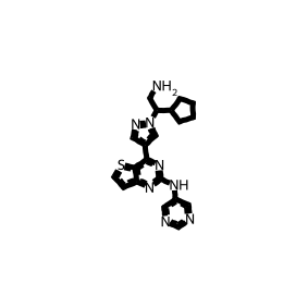 NCC(C1CCCC1)n1cc(-c2nc(Nc3cncnc3)nc3ccsc23)cn1